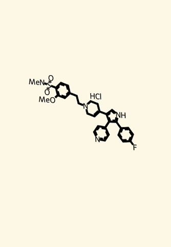 CNS(=O)(=O)c1ccc(CCN2CC=C(c3c[nH]c(-c4ccc(F)cc4)c3-c3ccncc3)CC2)cc1OC.Cl